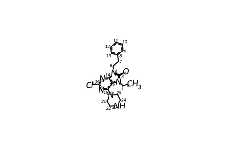 CCn1c(=O)n(CCc2ccccc2)c2nc(Cl)nc(N3CCNCC3)c21